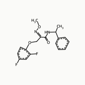 CON=C(COc1ccc(F)cc1F)C(=O)NC(C)c1ccccc1